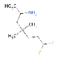 CC(C)(CCC(F)F)CC(N)C(=O)O